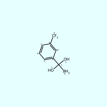 BC(O)(O)c1cccc(C(F)(F)F)c1